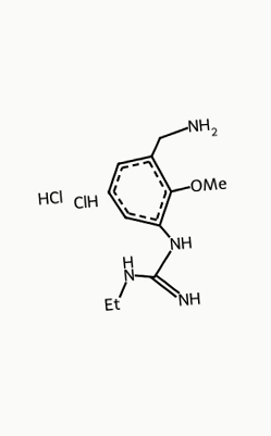 CCNC(=N)Nc1cccc(CN)c1OC.Cl.Cl